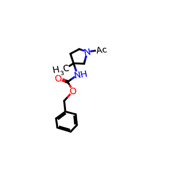 CC(=O)N1CCC(C)(NC(=O)OCc2ccccc2)C1